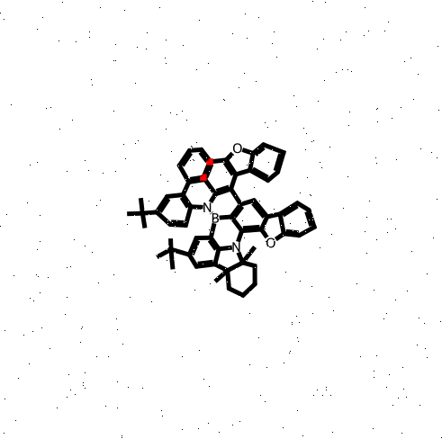 CC(C)(C)c1ccc(N2B3c4cc(C(C)(C)C)cc5c4N(c4c3c(cc3c4oc4ccccc43)-c3c2ccc2oc4ccccc4c32)C2(C)CCCCC52C)c(-c2ccccc2)c1